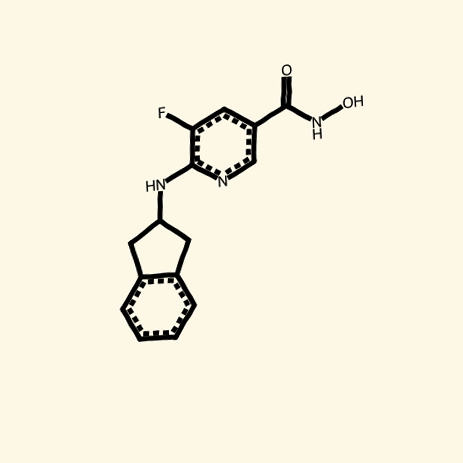 O=C(NO)c1cnc(NC2Cc3ccccc3C2)c(F)c1